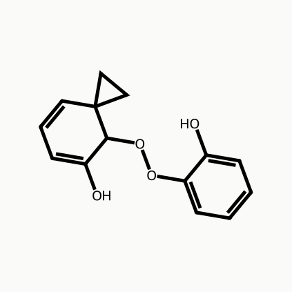 OC1=CC=CC2(CC2)C1OOc1ccccc1O